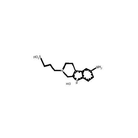 Cl.Nc1ccc2[nH]c3c(c2c1)CCN(CCCS(=O)(=O)O)C3